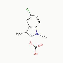 Cc1c(OC(=O)O)n(C)c2ccc(Cl)cc12